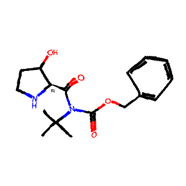 CC(C)(C)N(C(=O)OCc1ccccc1)C(=O)[C@H]1NCCC1O